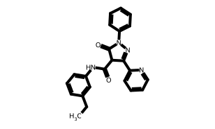 CCc1cccc(NC(=O)C2C(=O)N(c3ccccc3)N=C2c2ccccn2)c1